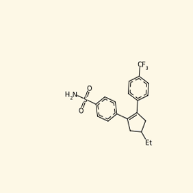 CCC1CC(c2ccc(C(F)(F)F)cc2)=C(c2ccc(S(N)(=O)=O)cc2)C1